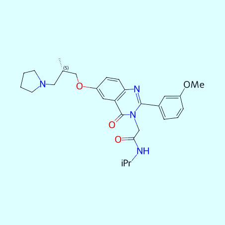 COc1cccc(-c2nc3ccc(OC[C@@H](C)CN4CCCC4)cc3c(=O)n2CC(=O)NC(C)C)c1